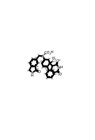 CC1(C2CCC(=O)NC2=O)CC(N(Cc2ccc3c(c2)C(=O)NC3)C(=O)O)=CC=C1c1ccccc1